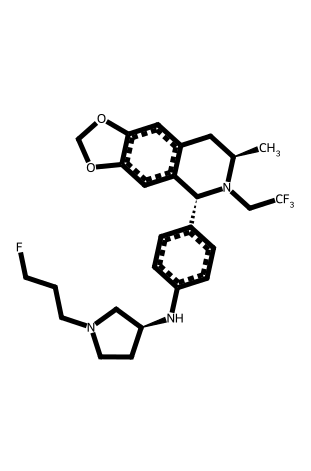 C[C@@H]1Cc2cc3c(cc2[C@@H](c2ccc(N[C@H]4CCN(CCCF)C4)cc2)N1CC(F)(F)F)OCO3